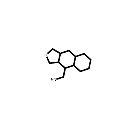 OCC1C2CCCCC2CC2COCC21